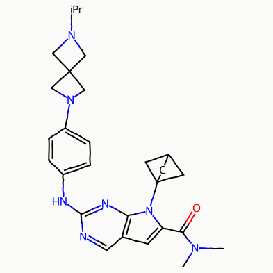 CC(C)N1CC2(CN(c3ccc(Nc4ncc5cc(C(=O)N(C)C)n(C67CC(C6)C7)c5n4)cc3)C2)C1